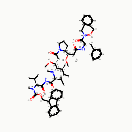 CC[C@H](C)[C@@H]([C@@H](CC(=O)N1CCC[C@H]1[C@H](OC)[C@@H](C)C(=O)N[C@@H](Cc1ccccc1)C(=O)N1Cc2ccccc2CO1)OC)N(C)[C@H](C(=O)NC(=O)[C@H](C(C)C)N(C)C(=O)OCC1c2ccccc2-c2ccccc21)C(C)C